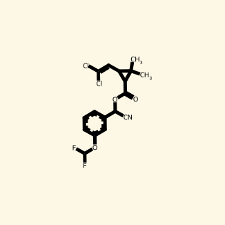 CC1(C)C(C=C(Cl)Cl)C1C(=O)OC(C#N)c1cccc(OC(F)F)c1